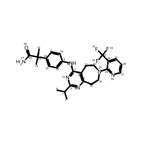 CC(C)c1nc2c(c(Nc3ccc(C(C)(C)C(N)=O)cc3)n1)CCN(c1ncccc1C(F)(F)F)CC2